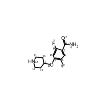 NC(=O)c1cc(F)c(OC2CCNCC2)cc1F